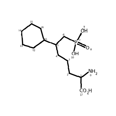 NC(CCCC(CP(=O)(O)O)C1CCCCC1)C(=O)O